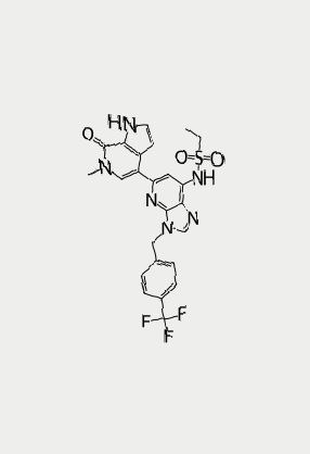 CCS(=O)(=O)Nc1cc(-c2cn(C)c(=O)c3[nH]ccc23)nc2c1ncn2Cc1ccc(C(F)(F)F)cc1